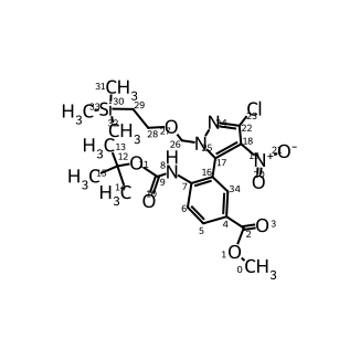 COC(=O)c1ccc(NC(=O)OC(C)(C)C)c(-c2c([N+](=O)[O-])c(Cl)nn2COCC[Si](C)(C)C)c1